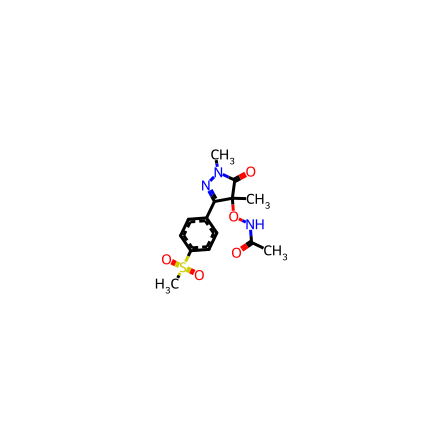 CC(=O)NOC1(C)C(=O)N(C)N=C1c1ccc(S(C)(=O)=O)cc1